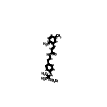 CCOC(=O)C(C)(C)Oc1ccc(CCNC(=O)C=Cc2cc(C)ccc2C)cc1